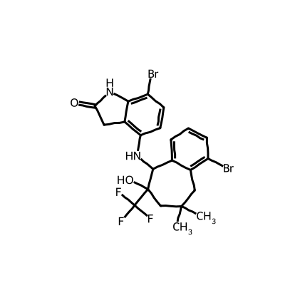 CC1(C)Cc2c(Br)cccc2C(Nc2ccc(Br)c3c2CC(=O)N3)C(O)(C(F)(F)F)C1